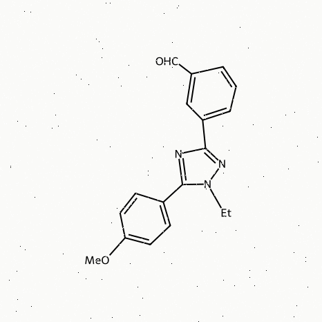 CCn1nc(-c2cccc(C=O)c2)nc1-c1ccc(OC)cc1